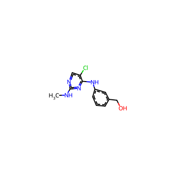 CNc1ncc(Cl)c(Nc2cccc(CO)c2)n1